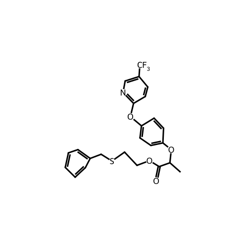 CC(Oc1ccc(Oc2ccc(C(F)(F)F)cn2)cc1)C(=O)OCCSCc1ccccc1